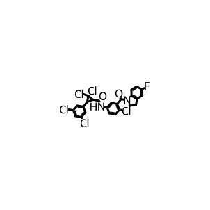 O=C(Nc1ccc(Cl)c(C(=O)N2CCc3cc(F)ccc32)c1)C1C(c2cc(Cl)cc(Cl)c2)C1(Cl)Cl